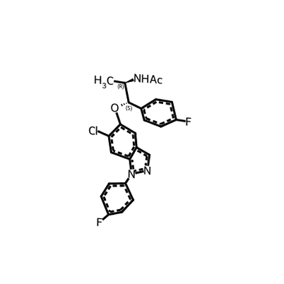 CC(=O)N[C@H](C)[C@@H](Oc1cc2cnn(-c3ccc(F)cc3)c2cc1Cl)c1ccc(F)cc1